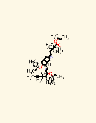 CC#CC(C)(C)C(C)[C@@H](/C=C/[C@H]1C(O[Si](CC)(CC)CC)C[C@@H]2C/C(=C\CC(C)(C)C(C)(C)C(=O)O[C@@H](C)CC)C[C@@H]21)O[Si](CC)(CC)CC